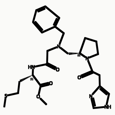 COC(=O)[C@H](CCSC)NC(=O)CN(Cc1ccccc1)C[C@@H]1CCCN1C(=O)Cc1c[nH]cn1